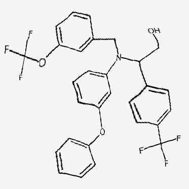 OCC(c1ccc(C(F)(F)F)cc1)N(Cc1cccc(OC(F)(F)F)c1)c1cccc(Oc2ccccc2)c1